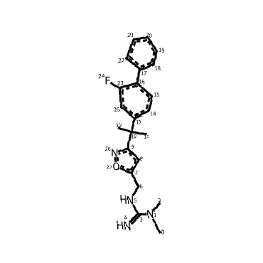 CN(C)C(=N)NCc1cc(C(C)(C)c2ccc(-c3ccccc3)c(F)c2)no1